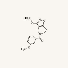 O=C(O)Oc1noc2c1CN(C(=O)c1cccc(OC(F)(F)F)c1)CC2